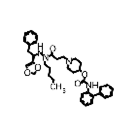 CCCCCN(NC(Cc1ccccc1)C1=COCO1)C(=O)CCN1CCC(OC(=O)Nc2ccccc2-c2ccccc2)CC1